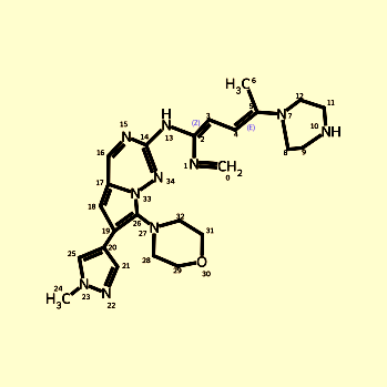 C=N/C(=C\C=C(/C)N1CCNCC1)Nc1ncc2cc(-c3cnn(C)c3)c(N3CCOCC3)n2n1